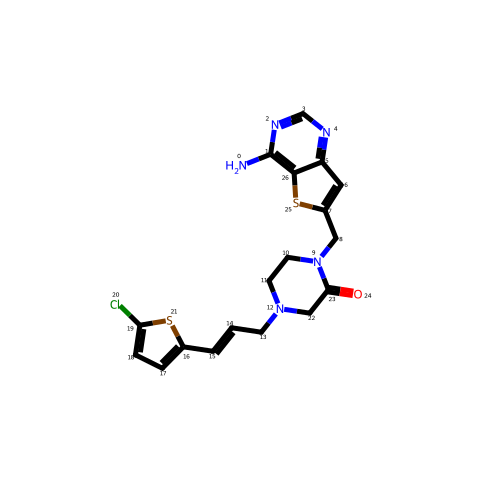 Nc1ncnc2cc(CN3CCN(C/C=C/c4ccc(Cl)s4)CC3=O)sc12